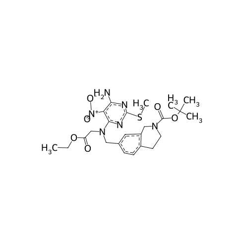 CCOC(=O)CN(Cc1ccc2c(c1)CN(C(=O)OC(C)(C)C)CC2)c1nc(SC)nc(N)c1[N+](=O)[O-]